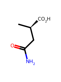 C[C@H](CC(N)=O)C(=O)O